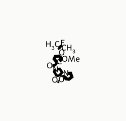 COc1cc(C(=O)N2CC[C@]3(c4ccccn4)OCOC3C2)ccc1OCC(C)(C)F